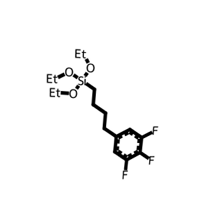 CCO[Si](CCCCc1cc(F)c(F)c(F)c1)(OCC)OCC